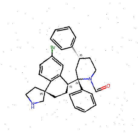 O=CN1CC[C@@H](c2ccccc2)C[C@@]1(c1ccccc1)[C@H]1CC[C@@]2(CCNC2)c2ccc(Br)cc21